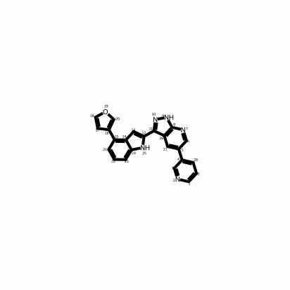 c1cncc(-c2cnc3[nH]nc(-c4cc5c(-c6ccoc6)cccc5[nH]4)c3c2)c1